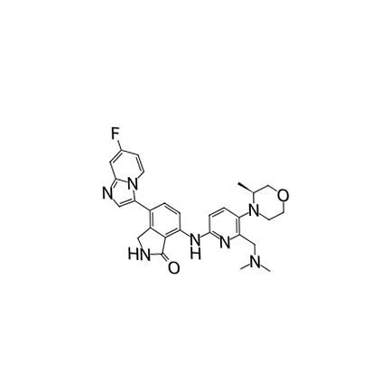 C[C@H]1COCCN1c1ccc(Nc2ccc(-c3cnc4cc(F)ccn34)c3c2C(=O)NC3)nc1CN(C)C